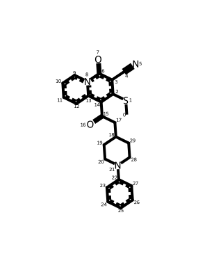 CSc1c(C#N)c(=O)n2ccccc2c1C(=O)CC1CCN(c2ccccc2)CC1